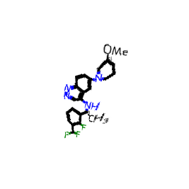 CO[C@H]1CCCN(c2ccc3nncc(N[C@H](C)c4cccc(C(F)F)c4F)c3c2)C1